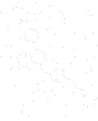 NCCc1ccc(OC2CCC(c3ccccc3)c3ccccc32)cc1